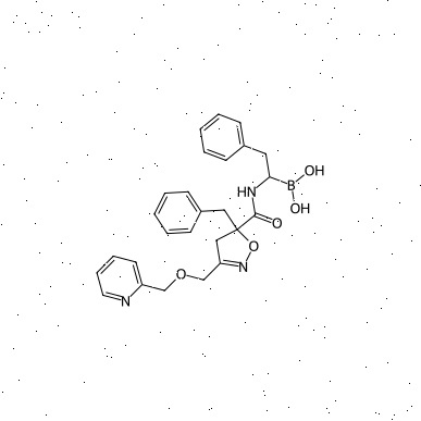 O=C(NC(Cc1ccccc1)B(O)O)C1(Cc2ccccc2)CC(COCc2ccccn2)=NO1